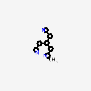 Cc1cncc(-c2cccc(-c3cc(-c4cccc(-c5cccnc5)c4)cc(-c4cccc(-c5cccnc5)c4)c3)c2)c1